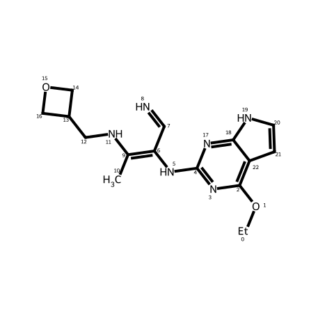 CCOc1nc(N/C(C=N)=C(\C)NCC2COC2)nc2[nH]ccc12